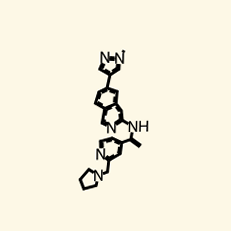 C=C(Nc1cc2cc(-c3cnn(C)c3)ccc2cn1)c1ccnc(CN2CCCC2)c1